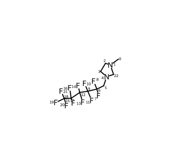 CN1CCN(CC(F)(F)C(F)(F)C(F)(F)C(F)(F)C(F)(F)F)C1